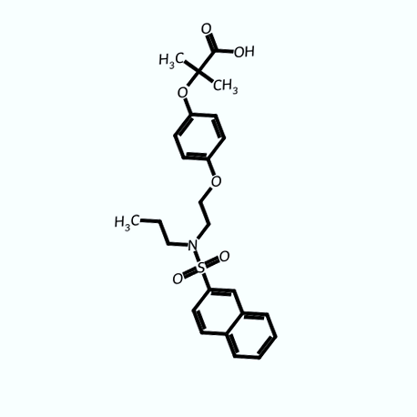 CCCN(CCOc1ccc(OC(C)(C)C(=O)O)cc1)S(=O)(=O)c1ccc2ccccc2c1